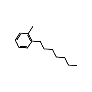 CCCCCCCc1ccc[c]c1C